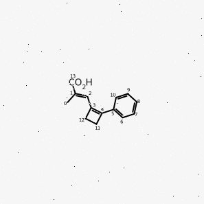 CC(=CC1=C(c2ccccc2)CC1)C(=O)O